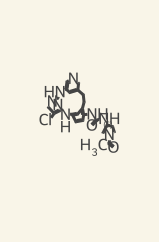 CC(=O)N1CC[C@H](NC(=O)Nc2ccc3cc2CCc2cncc(c2)Nc2ncc(Cl)c(n2)N3)C1